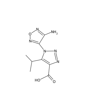 CC(C)c1c(C(=O)O)nnn1-c1nonc1N